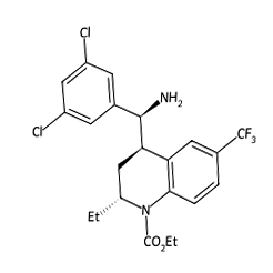 CCOC(=O)N1c2ccc(C(F)(F)F)cc2[C@H]([C@H](N)c2cc(Cl)cc(Cl)c2)C[C@H]1CC